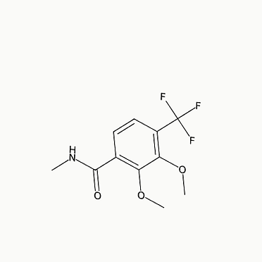 CNC(=O)c1ccc(C(F)(F)F)c(OC)c1OC